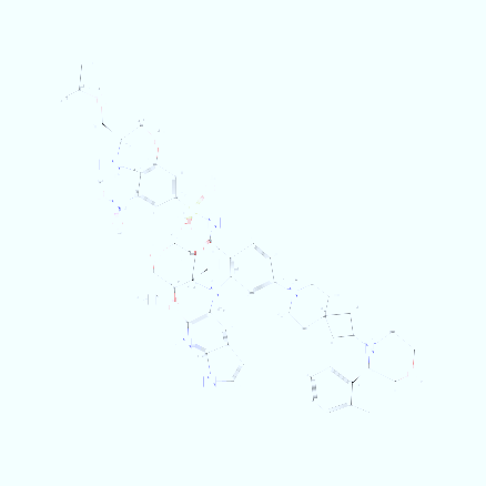 Cc1ccccc1[C@@H]1COCCN1C1CC2(CCN(c3ccc(C(=O)NS(=O)(=O)c4cc5c(c([N+](=O)[O-])c4)N[C@@H](COC(C)C)CO5)c(N4c5cc6cc[nH]c6nc5O[C@H]5COCC[C@@H]54)c3)CC2)C1